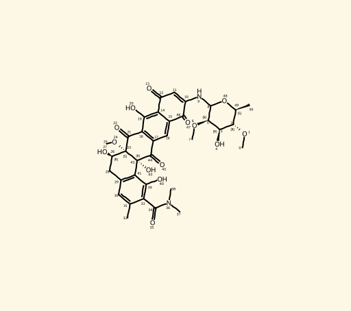 CO[C@@H]1[C@@H](O)[C@@H](OC)C(NC2=CC(=O)c3c(cc4c(c3O)C(=O)[C@]3(OC)[C@H](O)Cc5cc(C)c(C(=O)N(C)C)c(O)c5[C@]3(O)C4=O)C2=O)O[C@H]1C